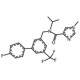 CC(C)N(Cc1cc(-c2ccc(F)cc2)cc(C(F)(F)F)c1)C(=O)c1cn(C)cn1